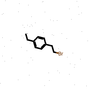 [CH2]Cc1ccc(CCBr)cc1